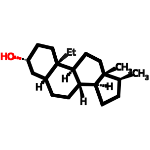 CC[C@]12CC[C@@H](O)C[C@@H]1CC[C@H]1[C@@H]3CC[C@H](C)[C@@]3(C)CC[C@@H]12